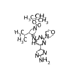 CC(C)C1CN(C(=O)OC(C)(C)C)C[C@H]1Nc1cc(-c2cnc(N)nc2)nc(N2CCOCC2)n1